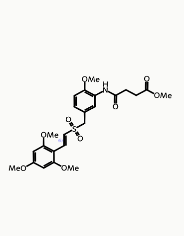 COC(=O)CCC(=O)Nc1cc(CS(=O)(=O)/C=C/c2c(OC)cc(OC)cc2OC)ccc1OC